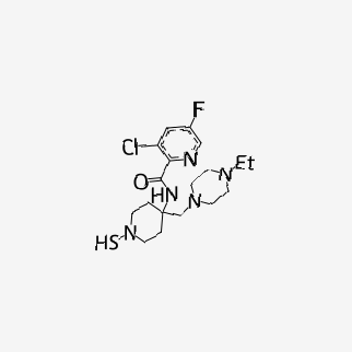 CCN1CCN(CC2(NC(=O)c3ncc(F)cc3Cl)CCN(S)CC2)CC1